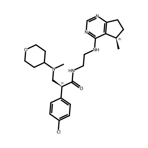 C[C@@H]1CCc2ncnc(NCCNC(=O)[C@H](CN(C)C3CCOCC3)c3ccc(Cl)cc3)c21